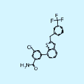 NC(=O)c1cc(Cl)cc(-c2cccc3cc(Cc4cccc(C(F)(F)F)c4)sc23)c1